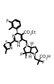 CCOC(=O)C1=C(CN2CC(F)(F)[C@H]3[C@@H]2CCN3C[C@@](C)(F)C(=O)O)NC(c2nc(C)cs2)=N[C@H]1c1cccc(F)c1C